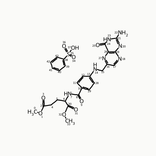 COC(=O)CCC(NC(=O)c1ccc(NCc2cnc3nc(N)[nH]c(=O)c3n2)cc1)C(=O)OC.O=S(=O)(O)c1ccccc1